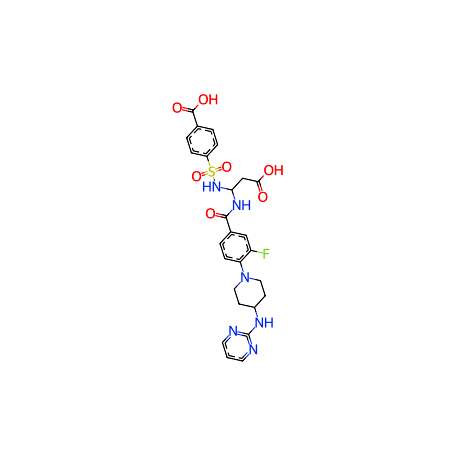 O=C(O)CC(NC(=O)c1ccc(N2CCC(Nc3ncccn3)CC2)c(F)c1)NS(=O)(=O)c1ccc(C(=O)O)cc1